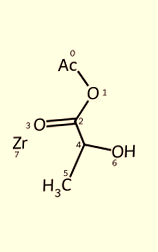 CC(=O)OC(=O)C(C)O.[Zr]